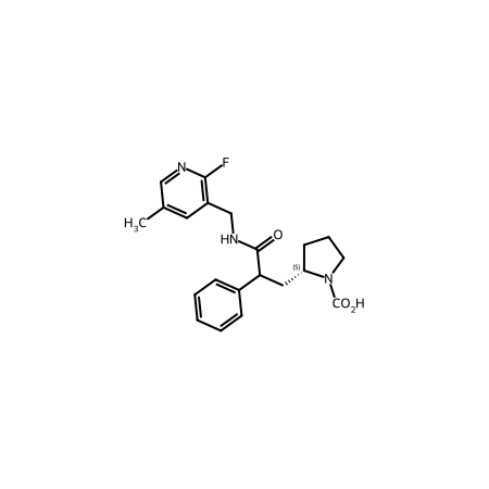 Cc1cnc(F)c(CNC(=O)C(C[C@@H]2CCCN2C(=O)O)c2ccccc2)c1